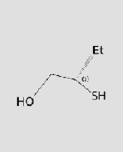 CC[C@H](S)CO